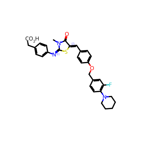 CN1C(=O)/C(=C/c2ccc(OCc3ccc(N4CCCCC4)c(F)c3)cc2)S/C1=N/c1ccc(CC(=O)O)cc1